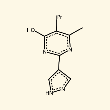 Cc1nc(-c2cn[nH]c2)nc(O)c1C(C)C